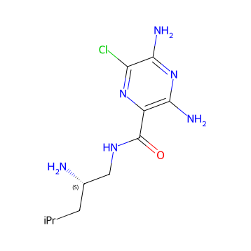 CC(C)C[C@H](N)CNC(=O)c1nc(Cl)c(N)nc1N